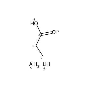 CCC(=O)O.[AlH3].[LiH]